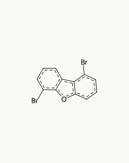 Brc1cccc2c1oc1cccc(Br)c12